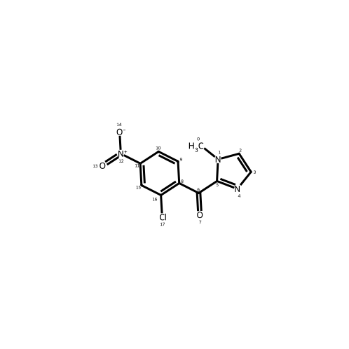 Cn1ccnc1C(=O)c1ccc([N+](=O)[O-])cc1Cl